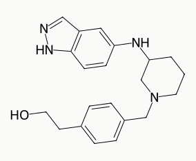 OCCc1ccc(CN2CCCC(Nc3ccc4[nH]ncc4c3)C2)cc1